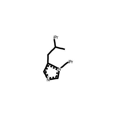 CC(C)C(C)Cc1cncn1C(C)C